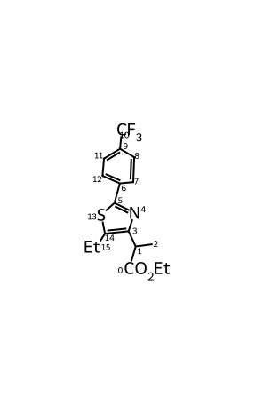 CCOC(=O)C(C)c1nc(-c2ccc(C(F)(F)F)cc2)sc1CC